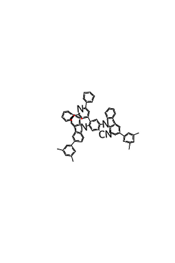 Cc1cc(C)cc(-c2ccc3c(c2)c2ccccc2n3-c2cc(-c3cc(-c4ccccc4)nc(-c4ccccc4)c3)c(-n3c4ccccc4c4cc(-c5cc(C)cc(C)c5)ccc43)cc2C#N)c1